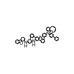 C1=C(NC2=CCCc3c2oc2ccccc32)CC2C(=C1)Nc1cc3c4cccc5c6cc(N(c7ccc(-c8ccccc8)cc7)c7cccc8c7OC/C=C\C=C/C8)ccc6n(c3cc1-c1cccc2c1)c54